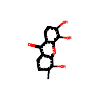 Cc1ccc2c(=O)c3ccc(O)c(O)c3oc2c1O